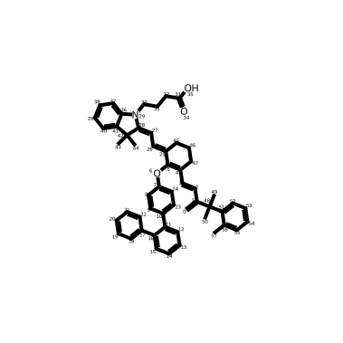 C=C(/C=C/C1=C(Oc2ccc(-c3ccccc3-c3ccccc3)cc2)C(=C/C=C2/N(CCCC(=O)O)c3ccccc3C2(C)C)/CCC1)C(C)(C)c1ccccc1C